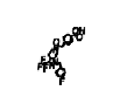 O=C(CC12CCC(C(=O)O)(CC1)C2)N1CCc2c(C(F)(F)F)nn(Cc3ccc(F)cc3)c2C1